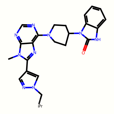 CC(C)Cn1cc(-c2nc3c(N4CCC(n5c(=O)[nH]c6ccccc65)CC4)ncnc3n2C)cn1